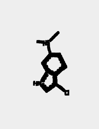 C[SH](C)c1ccc2c(Cl)c[nH]c2c1